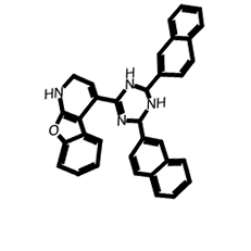 C1=C(C2=NC(c3ccc4ccccc4c3)NC(c3ccc4ccccc4c3)N2)c2c(oc3ccccc23)NC1